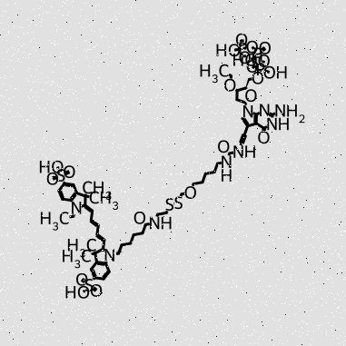 CCOC1C[C@H](n2cc(C#CNC(=O)NCCCCCOCSSCCNC(=O)CCCCC[N+]3=C(/C=C/C=C/C=C4\N(CC)c5ccc(S(=O)(=O)O)cc5C4(C)C)C(C)(C)c4cc(S(=O)(=O)O)ccc43)c3c(=O)[nH]c(N)nc32)O[C@@H]1COP(=O)(O)OP(=O)(O)OP(=O)(O)O